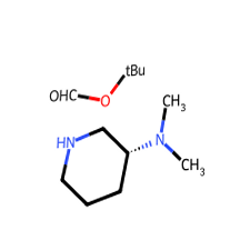 CC(C)(C)OC=O.CN(C)[C@@H]1CCCNC1